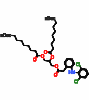 CCCCCCCCCCCCCCCCCC(=O)OCC(COC(=O)Cc1ccccc1Nc1c(Cl)cccc1Cl)OC(=O)CCCCCCCCCCCCCCCCC